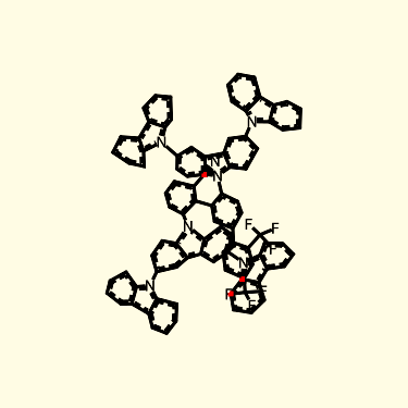 N#Cc1cccc(-n2c3ccc(-n4c5ccccc5c5ccccc54)cc3c3cc(-n4c5ccccc5c5ccccc54)ccc32)c1-c1cc(-c2ccc(C(F)(F)F)cc2C(F)(F)F)ccc1-n1c2ccc(-n3c4ccccc4c4ccccc43)cc2c2cc(-n3c4ccccc4c4ccccc43)ccc21